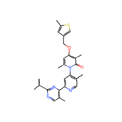 Cc1cc(COc2cc(C)n(-c3cc(-c4nc(C(C)C)ncc4C)ncc3C)c(=O)c2C)cs1